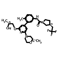 Cc1ccc(NC(=O)N2CC[C@@H](CC(F)(F)F)C2)cc1-c1cc(OC[C@@H](C)O)nc(N2CCO[C@@H](C)C2)c1